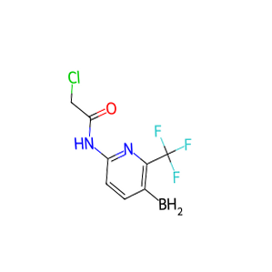 Bc1ccc(NC(=O)CCl)nc1C(F)(F)F